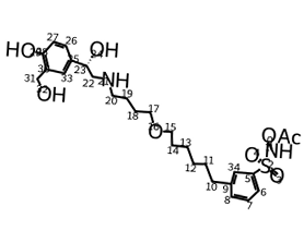 CC(=O)ONS(=O)(=O)c1cccc(CCCCCCOCCCCNC[C@@H](O)c2ccc(O)c(CO)c2)c1